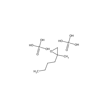 CCCCC1(C)CO1.O=P(O)(O)O.O=P(O)(O)O